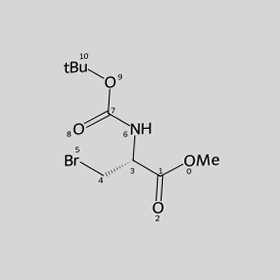 COC(=O)[C@H](CBr)NC(=O)OC(C)(C)C